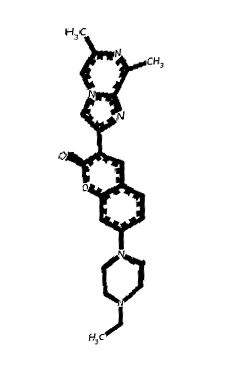 CCN1CCN(c2ccc3cc(-c4cn5cc(C)nc(C)c5n4)c(=O)oc3c2)CC1